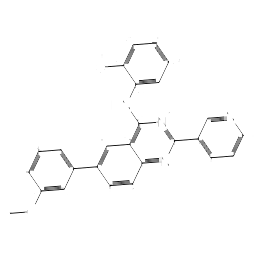 COc1cccc(-c2ccc3nc(-c4cccnc4)nc(Nc4ccccc4O)c3c2)c1